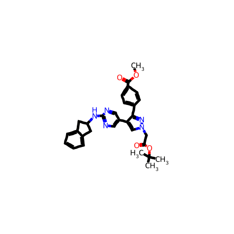 COC(=O)c1ccc(-c2nn(CC(=O)OC(C)(C)C)cc2-c2cnc(NC3Cc4ccccc4C3)nc2)cc1